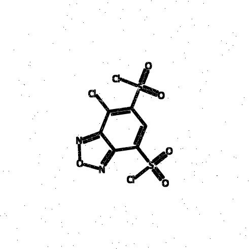 O=S(=O)(Cl)c1cc(S(=O)(=O)Cl)c2nonc2c1Cl